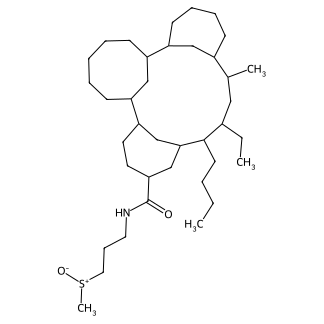 CCCCC1C(CC)CC(C)C2CCCCC(C2)C2CCCCCC(C2)C2CCC(C(=O)NCCC[S+](C)[O-])CC1C2